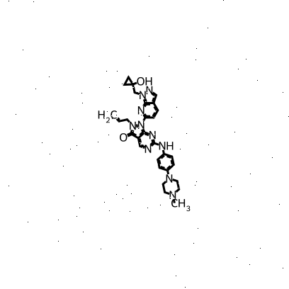 C=CCn1c(=O)c2cnc(Nc3ccc(N4CCN(C)CC4)cc3)nc2n1-c1ccc2cnn(CC3(O)CC3)c2n1